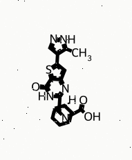 Cc1[nH]ncc1-c1cc2nc([C@@H]3C4CCC(CC4)N3C(=O)O)[nH]c(=O)c2s1